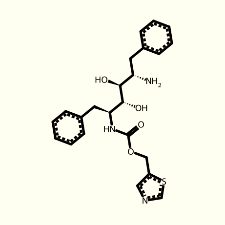 N[C@@H](Cc1ccccc1)[C@H](O)[C@H](O)[C@H](Cc1ccccc1)NC(=O)OCc1cncs1